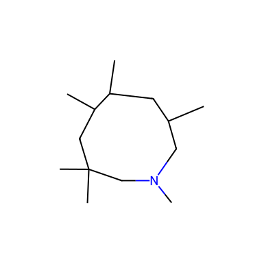 CC1CC(C)C(C)CC(C)(C)CN(C)C1